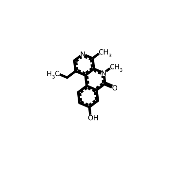 CCc1cnc(C)c2c1c1ccc(O)cc1c(=O)n2C